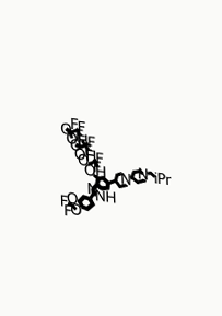 Cc1cc(C2CCN(C3CCN(CC(C)C)CC3)CC2)cc2[nH]c(-c3ccc4c(c3)OC(F)(F)O4)nc12.O=C(O)C(F)(F)F.O=C(O)C(F)(F)F.O=C(O)C(F)(F)F